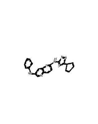 [c]1ccc(Nc2cnc3ccc(Nc4nnc(C5CCCC5)s4)nc3c2)cc1